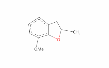 COc1cccc2c1OC(C)C2